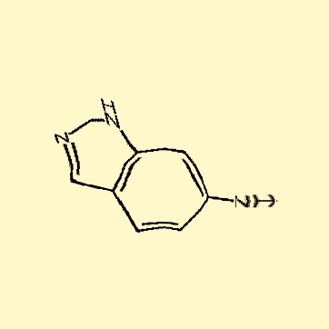 [NH]c1ccc2cn[nH]c2c1